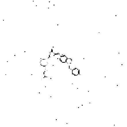 O=C1N=C(N2CCC[C@H](NCC(F)F)C2)S/C1=C\c1ccc2c(cnn2Cc2ccc(C(F)(F)F)cc2C(F)(F)F)c1